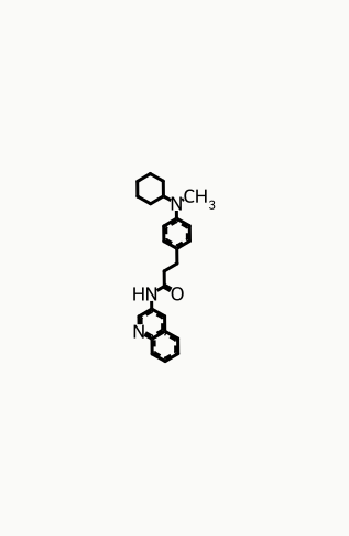 CN(c1ccc(CCC(=O)Nc2cnc3ccccc3c2)cc1)C1CCCCC1